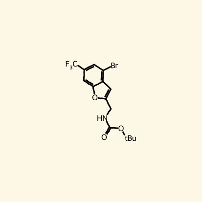 CC(C)(C)OC(=O)NCc1cc2c(Br)cc(C(F)(F)F)cc2o1